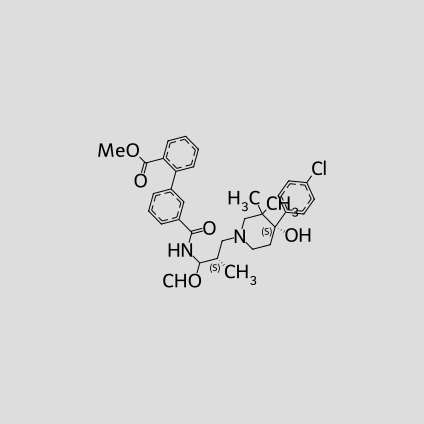 COC(=O)c1ccccc1-c1cccc(C(=O)NC(C=O)[C@@H](C)CN2CC[C@](O)(c3ccc(Cl)cc3)C(C)(C)C2)c1